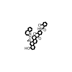 C1=CNc2ccccc2C=C1.CN(C)C1C=c2c(O)cccc2=c2ccc3c(c21)CCCC=3C(=O)c1ccc(NC(=O)c2ccccc2Cl)cc1Cl